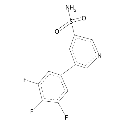 NS(=O)(=O)c1cncc(-c2cc(F)c(F)c(F)c2)c1